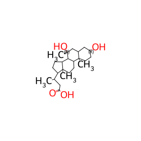 CC(CC(=O)O)C1CCC2C3C(CCC12C)C1(C)CC[C@@H](O)CC1C[C@@]3(C)O